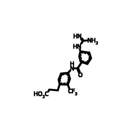 N=C(N)Nc1cccc(C(=O)Nc2ccc(CCC(=O)O)c(C(F)(F)F)c2)c1